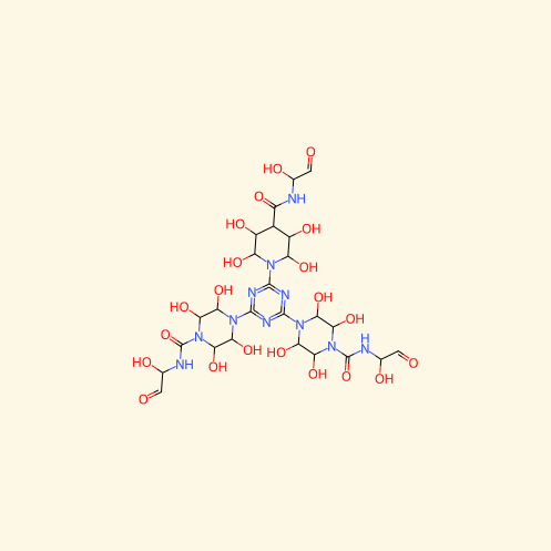 O=CC(O)NC(=O)C1C(O)C(O)N(c2nc(N3C(O)C(O)N(C(=O)NC(O)C=O)C(O)C3O)nc(N3C(O)C(O)N(C(=O)NC(O)C=O)C(O)C3O)n2)C(O)C1O